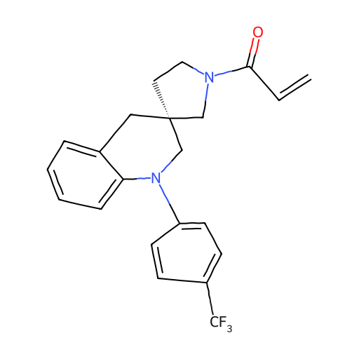 C=CC(=O)N1CC[C@]2(Cc3ccccc3N(c3ccc(C(F)(F)F)cc3)C2)C1